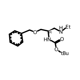 CCNC[C@H](COCc1ccccc1)NC(=O)OC(C)(C)C